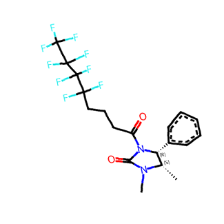 C[C@H]1[C@@H](c2ccccc2)N(C(=O)CCCC(F)(F)C(F)(F)C(F)(F)C(F)(F)F)C(=O)N1C